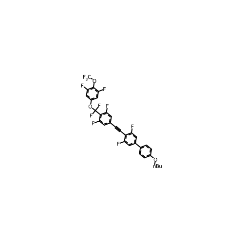 CCCCOc1ccc(-c2cc(F)c(C#Cc3cc(F)c(C(F)(F)Oc4cc(F)c(OC(F)(F)F)c(F)c4)c(F)c3)c(F)c2)cc1